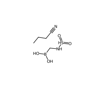 CCCC#N.O=[SH](=O)NCB(O)O